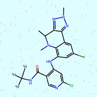 [2H]C([2H])([2H])NC(=O)c1cnc(Cl)cc1Nc1cc(F)cc2c1N(C)C(C)c1nn(C)nc1-2